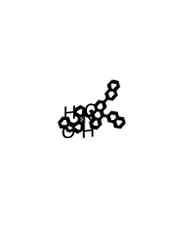 CC1(Nc2ccccc2-c2cccc3oc4ccccc4c23)c2ccccc2C(c2ccc3ccccc3c2)=C2C=C(c3ccc4ccccc4c3)C=CC21